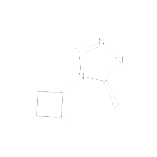 O=c1[nH]ncn1C1CCC1